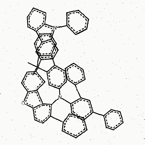 CC1(C)c2ccccc2-c2ccc(N(c3ccc(-c4ccccc4)cc3-c3ccccc3)c3c(-c4ccccc4)ccc4oc5ccc(-c6ccc7c(c6)c6ccccc6n7-c6ccccc6)cc5c34)cc21